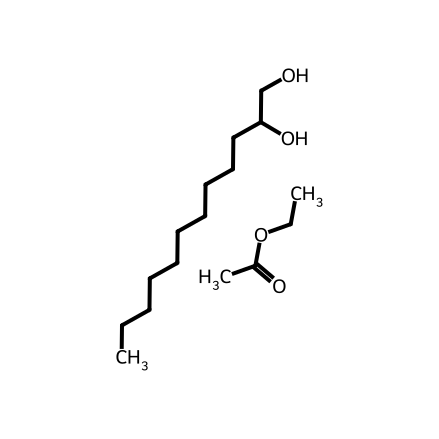 CCCCCCCCCCC(O)CO.CCOC(C)=O